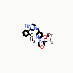 Cc1ccccc1[C@@H]1CN(Cc2cnc(N3CCOC[C@@H]3C)c(OC(C)C)c2)CCN1